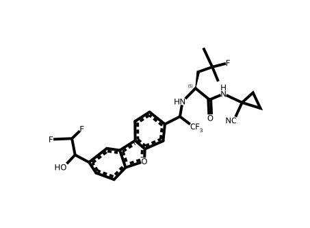 CC(C)(F)C[C@H](NC(c1ccc2c(c1)oc1ccc(C(O)C(F)F)cc12)C(F)(F)F)C(=O)NC1(C#N)CC1